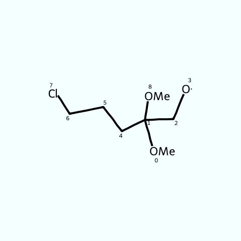 COC(C[O])(CCCCl)OC